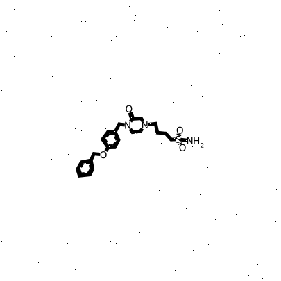 NS(=O)(=O)CCCCN1CCN(Cc2ccc(OCc3ccccc3)cc2)C(=O)C1